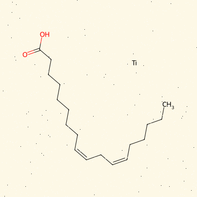 CCCCC/C=C\C/C=C\CCCCCCCC(=O)O.[Ti]